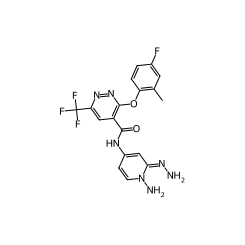 Cc1cc(F)ccc1Oc1nnc(C(F)(F)F)cc1C(=O)Nc1ccn(N)/c(=N\N)c1